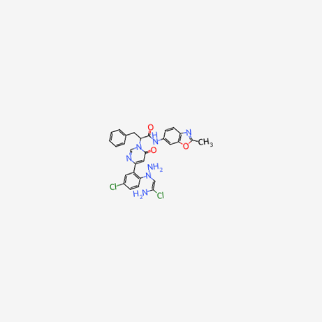 Cc1nc2ccc(NC(=O)C(Cc3ccccc3)n3cnc(-c4cc(Cl)ccc4N(N)/C=C(\N)Cl)cc3=O)cc2o1